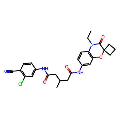 CCN1C(=O)C2(CCC2)Oc2cc(NC(=O)CC(C)CC(=O)Nc3ccc(C#N)c(Cl)c3)ccc21